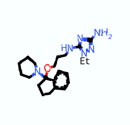 CCn1nc(N)nc1NCCCOC1(N2CCCCC2)CCCc2ccccc21